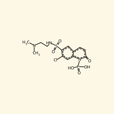 CN(C)CCNS(=O)(=O)c1cc2c[c]c(=O)n(P(=O)(O)O)c2cc1Cl